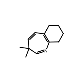 CC1(C)C=CC2=C(CCCC2)N=C1